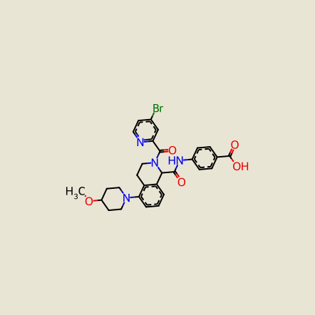 COC1CCN(c2cccc3c2CCN(C(=O)c2cc(Br)ccn2)C3C(=O)Nc2ccc(C(=O)O)cc2)CC1